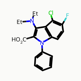 CCN(CC)c1c(C(=O)O)n(-c2ccccc2)c2ccc(F)c(Cl)c12